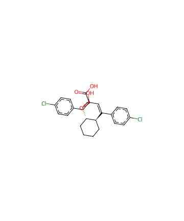 O=C(O)C=C(c1ccc(Cl)cc1)[C@H]1CCCC[C@@H]1/C(=C\C(=O)O)c1ccc(Cl)cc1